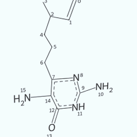 C=CC(C)CCCc1nc(N)[nH]c(=O)c1N